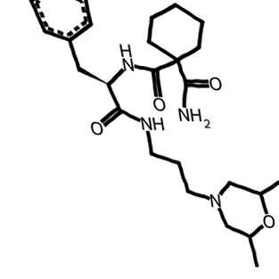 CC1CN(CCCNC(=O)[C@@H](Cc2ccccc2)NC(=O)C2(C(N)=O)CCCCC2)CC(C)O1